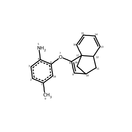 Cc1ccc(N)c(OC2=CC3CC4C=CC=CC24C3)c1